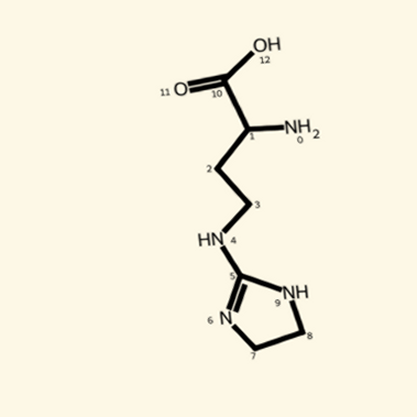 NC(CCNC1=NCCN1)C(=O)O